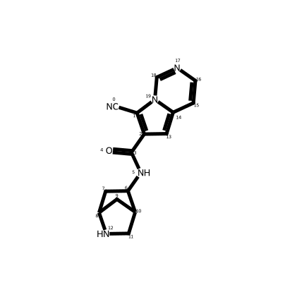 N#Cc1c(C(=O)NC2CC3CC2CN3)cc2ccncn12